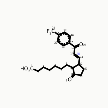 O=C(O)CCCCCCC1C(=O)CCC1/C=C/C(=O)c1ccc(C(F)(F)F)cc1